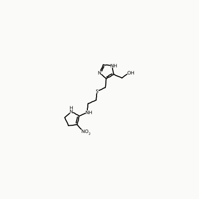 O=[N+]([O-])C1=C(NCCSCc2nc[nH]c2CO)NCC1